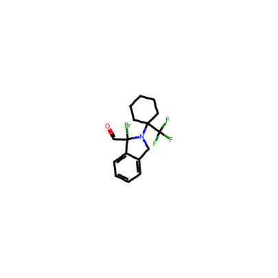 O=CC1(Br)c2ccccc2CN1C1(C(F)(F)F)CCCCC1